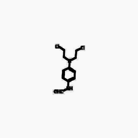 O=[C]Nc1ccc(N(CCCl)CCCl)cc1